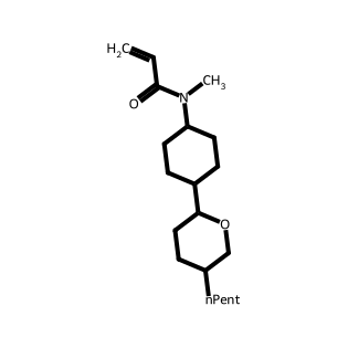 C=CC(=O)N(C)C1CCC(C2CCC(CCCCC)CO2)CC1